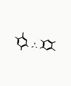 Cc1cc(OP(F)Oc2cc(C)c(C(C)(C)C)cc2C(C)(C)C)c(C(C)(C)C)cc1C(C)(C)C